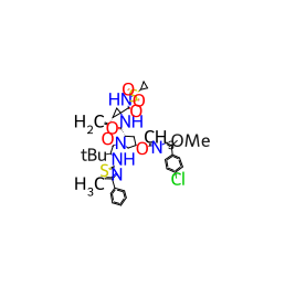 C=C[C@@H]1C[C@]1(NC(=O)[C@@H]1C[C@@H](O/C(C)=N/C=C(/OC)c2ccc(Cl)cc2)CN1C(=O)[C@@H](Nc1nc(-c2ccccc2)c(C)s1)C(C)(C)C)C(=O)NS(=O)(=O)C1CC1